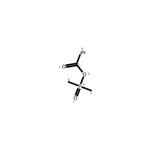 CC(C)C(=O)OP(C)(C)=O